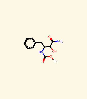 CC(C)(C)OC(=O)NC(Cc1ccccc1)C(O)C(N)=O